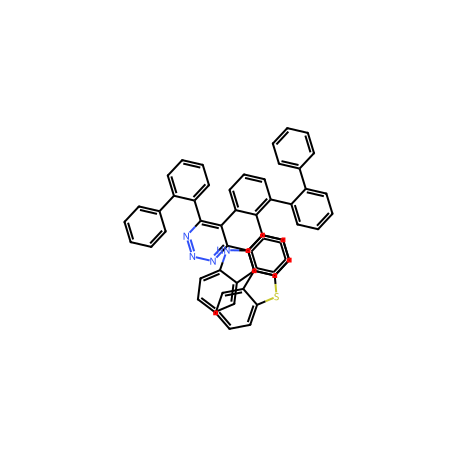 c1ccc(-c2ccccc2-c2cccc(-c3c(-c4ccccc4-c4ccccc4)nnnc3-c3cccc4sc5ccccc5c34)c2-c2cccc3c2[nH]c2ccccc23)cc1